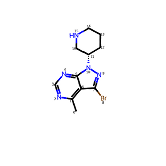 Cc1ncnc2c1c(Br)nn2[C@H]1CCCNC1